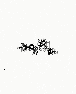 CC(=O)c1nn(CC(=O)N2C(=O)CC[C@H]2C(=O)Nc2cccc(Br)n2)c2ccc(-c3cnc(C)nc3)cc12